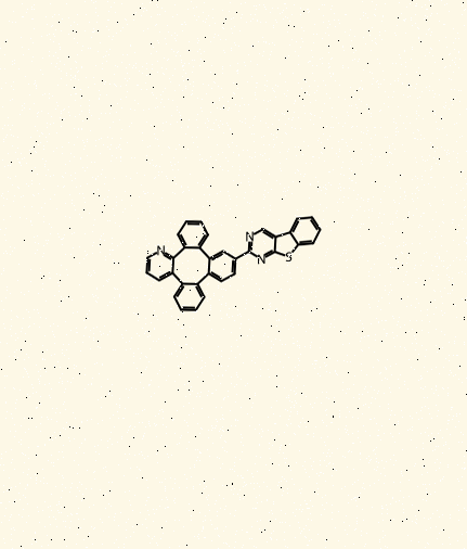 c1ccc2c(c1)-c1ccc(-c3ncc4c(n3)sc3ccccc34)cc1-c1ccccc1-c1ncccc1-2